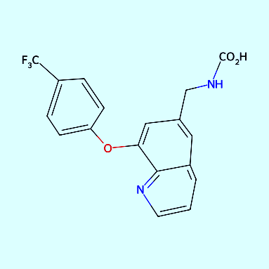 O=C(O)NCc1cc(Oc2ccc(C(F)(F)F)cc2)c2ncccc2c1